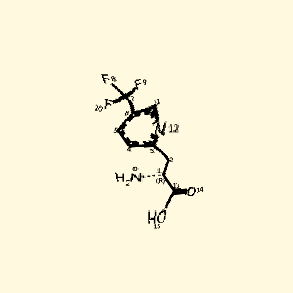 N[C@H](Cc1ccc(C(F)(F)F)cn1)C(=O)O